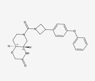 O=C1CO[C@H]2CCN(C(=O)N3CC(c4ccc(Oc5ccccc5)cc4)C3)C[C@@H]2N1